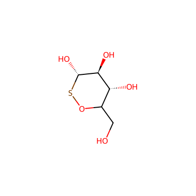 OCC1OS[C@H](O)[C@@H](O)[C@@H]1O